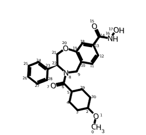 COC1CCC(C(=O)N2Cc3ccc(C(=O)NO)cc3OC[C@@H]2c2ccccc2)CC1